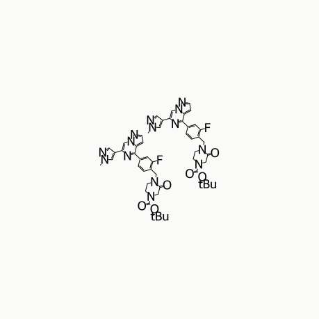 Cn1cc(-c2cn3nccc3c(-c3ccc(CN4CCN(C(=O)OC(C)(C)C)CC4=O)c(F)c3)n2)cn1.Cn1cc(-c2cn3nccc3c(-c3ccc(CN4CCN(C(=O)OC(C)(C)C)CC4=O)c(F)c3)n2)cn1